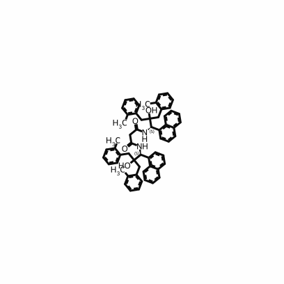 Cc1ccccc1CC(O)(Cc1ccccc1C)[C@@H](NC(=O)CC(=O)N[C@@H](c1cccc2ccccc12)C(O)(Cc1ccccc1C)Cc1ccccc1C)c1cccc2ccccc12